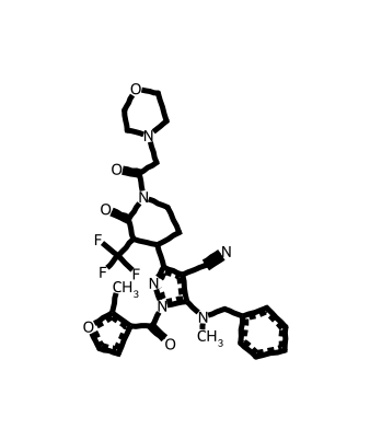 Cc1occc1C(=O)n1nc(C2CCN(C(=O)CN3CCOCC3)C(=O)C2C(F)(F)F)c(C#N)c1N(C)Cc1ccccc1